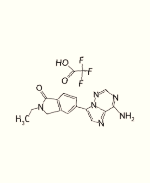 CCN1Cc2cc(-c3cnc4c(N)ncnn34)ccc2C1=O.O=C(O)C(F)(F)F